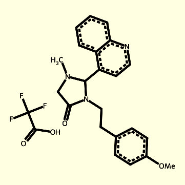 COc1ccc(CCN2C(=O)CN(C)C2c2ccnc3ccccc23)cc1.O=C(O)C(F)(F)F